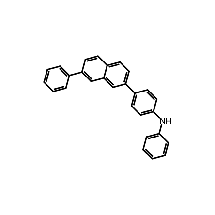 c1ccc(Nc2ccc(-c3ccc4ccc(-c5ccccc5)cc4c3)cc2)cc1